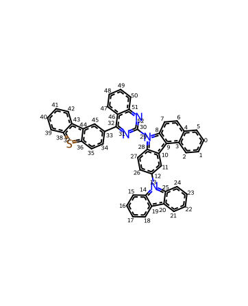 c1ccc2c(c1)ccc1c2c2cc(-n3c4ccccc4c4ccccc43)ccc2n1-c1nc(-c2ccc3sc4ccccc4c3c2)c2ccccc2n1